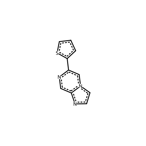 c1csc(-c2cn3ccnc3cn2)c1